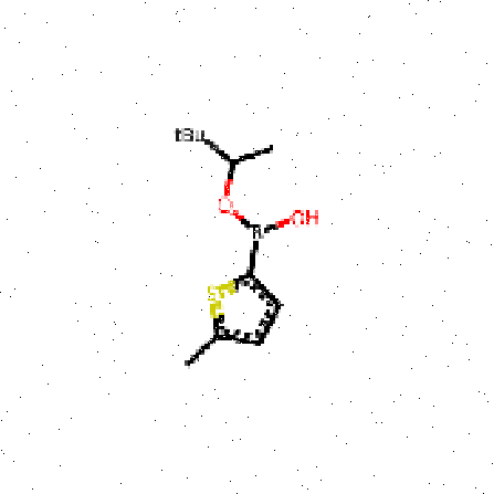 Cc1ccc(B(O)OC(C)C(C)(C)C)s1